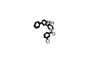 O=C(c1cccc(Cl)c1)N1CCc2[nH]c3ccc(-c4ccccc4)cc3c2C1